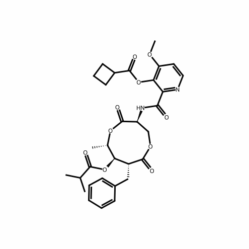 COc1ccnc(C(=O)N[C@H]2COC(=O)[C@H](Cc3ccccc3)[C@@H](OC(=O)C(C)C)[C@H](C)OC2=O)c1OC(=O)C1CCC1